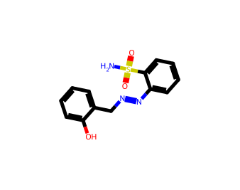 NS(=O)(=O)c1ccccc1/N=N/Cc1ccccc1O